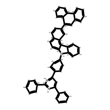 c1ccc(-c2cc(-c3ccc(-n4c5ccccc5c5c6cc(-c7cc8ccccc8c8ccccc78)ccc6ccc54)cc3)nc(-c3ccccc3)n2)cc1